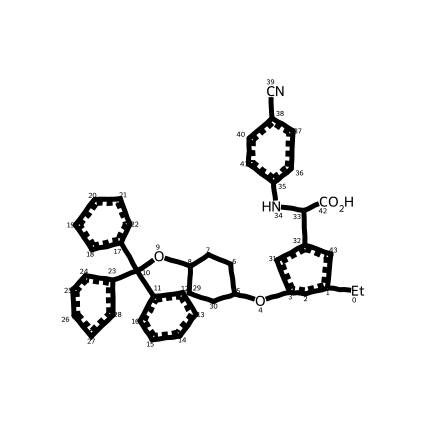 CCc1cc(OC2CCC(OC(c3ccccc3)(c3ccccc3)c3ccccc3)CC2)cc(C(Nc2ccc(C#N)cc2)C(=O)O)c1